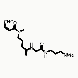 C=C(CCCN(C)C(=O)/C=C\C=O)NCC(=O)NCCCNC